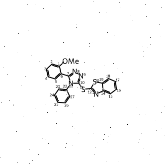 COc1ccccc1-c1nnc(Sc2nc3ccccc3s2)n1-c1ccccc1